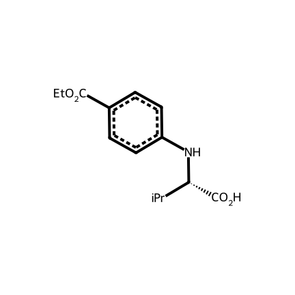 CCOC(=O)c1ccc(N[C@H](C(=O)O)C(C)C)cc1